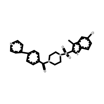 Cc1c(S(=O)(=O)N2CCN(C(=O)c3ccc(-c4ccncc4)cc3)CC2)sc2ccc(Cl)cc12